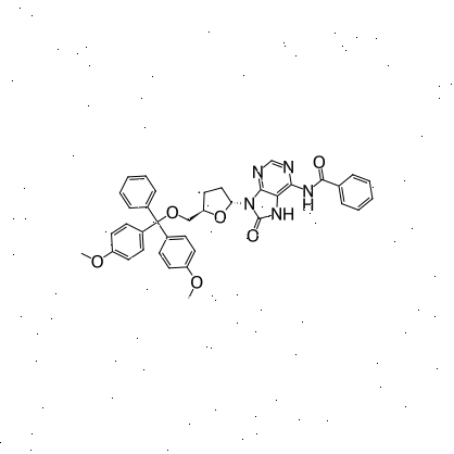 COc1ccc(C(OC[C@H]2[CH]C[C@H](n3c(=O)[nH]c4c(NC(=O)c5ccccc5)ncnc43)O2)(c2ccccc2)c2ccc(OC)cc2)cc1